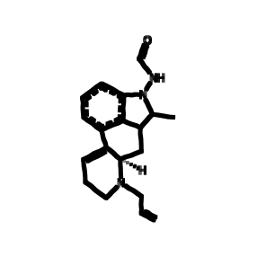 C=CCN1CCC=C2c3cccc4c3C(C[C@H]21)C(C)N4NC=O